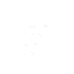 O=c1[nH]c(=O)n(Sn2c(=O)[nH]c(=O)[nH]c2=O)c(=O)[nH]1